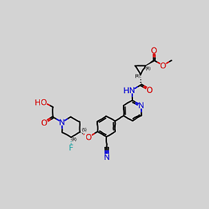 COC(=O)[C@@H]1C[C@H]1C(=O)Nc1cc(-c2ccc(O[C@H]3CCN(C(=O)CO)C[C@H]3F)c(C#N)c2)ccn1